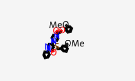 COc1cccc(CSc2c(N3CCN(C(=O)COc4ccccc4OC)CC3)cnn(-c3ccccc3)c2=O)c1